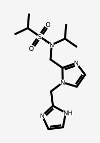 CC(C)N(Cc1nccn1Cc1ncc[nH]1)S(=O)(=O)C(C)C